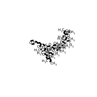 C/C=C/C[C@@H](C)C[C@@H](C(=O)N[C@@H](CC)C(=O)N(C)[C@H](SCC[C@@H](CCCN1CCOCC1)C(=O)OCC)C(=O)N(C)[C@@H](CC(C)(C)O)C(=O)NC(=O)N(C)C(=O)NC(=O)N[C@@H](C)C(=O)N(C)[C@@H](CC(C)C)C(=O)N(C)C(CC(C)C)C(=O)NC)N(C)C(=O)CC(C)C